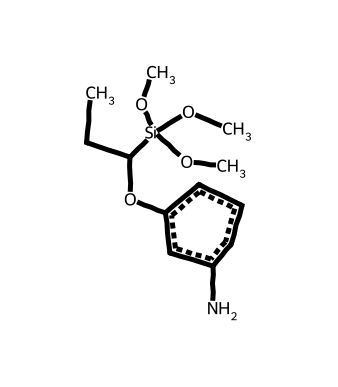 CCC(Oc1cccc(N)c1)[Si](OC)(OC)OC